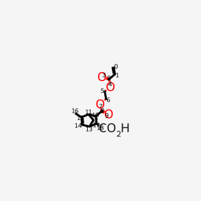 C=CC(=O)OCCOC(=O)C1C2CC(C=C2C)C1C(=O)O